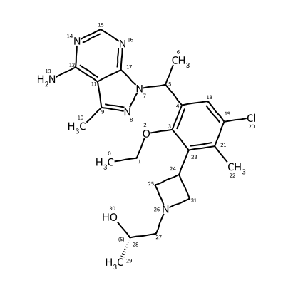 CCOc1c(C(C)n2nc(C)c3c(N)ncnc32)cc(Cl)c(C)c1C1CN(C[C@H](C)O)C1